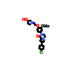 COc1cc(N2CCn3cc(-c4ccc(Cl)cc4)cc3C2=O)ccc1OCCN1CC[C@H](O)C1